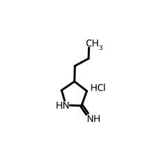 CCCC1CNC(=N)C1.Cl